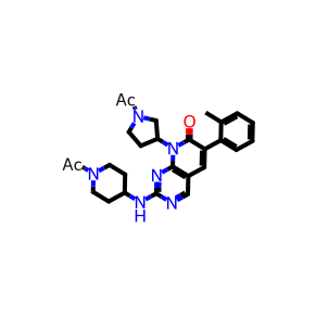 CC(=O)N1CCC(Nc2ncc3cc(-c4ccccc4C)c(=O)n(C4CCN(C(C)=O)C4)c3n2)CC1